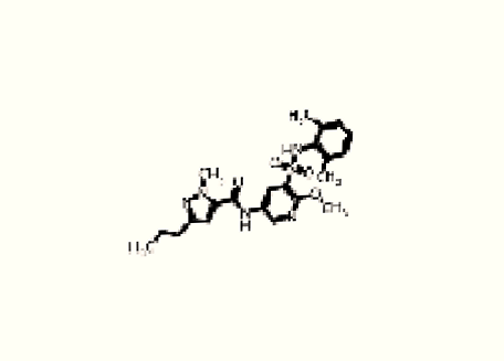 CCCc1cc(C(=O)Nc2cnc(OC)c(S(=O)(=O)Nc3c(C)cccc3C)c2)n(C)n1